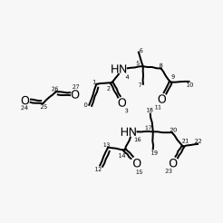 C=CC(=O)NC(C)(C)CC(C)=O.C=CC(=O)NC(C)(C)CC(C)=O.O=CC=O